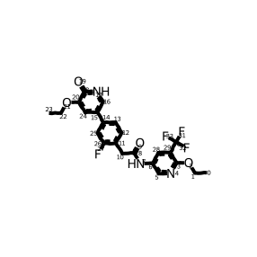 CCOc1ncc(NC(=O)Cc2ccc(-c3c[nH]c(=O)c(OCC)c3)cc2F)cc1C(F)(F)F